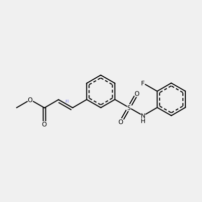 COC(=O)/C=C/c1cccc(S(=O)(=O)Nc2ccccc2F)c1